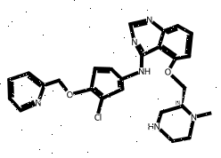 CN1CCNC[C@H]1COc1cccc2ncnc(Nc3ccc(OCc4ccccn4)c(Cl)c3)c12